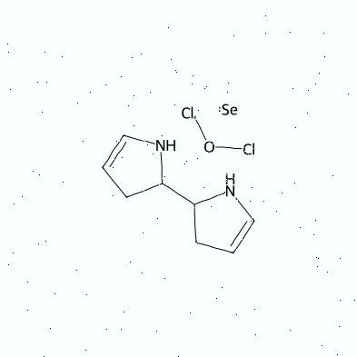 C1=CNC(C2CC=CN2)C1.ClOCl.[Se]